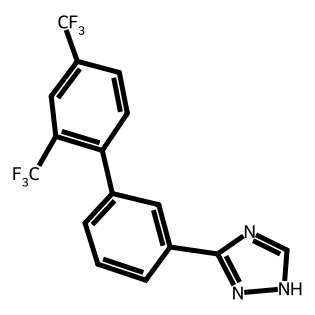 FC(F)(F)c1ccc(-c2cccc(-c3nc[nH]n3)c2)c(C(F)(F)F)c1